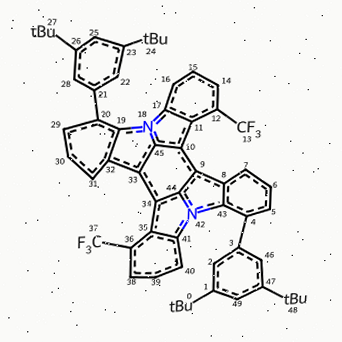 CC(C)(C)c1cc(-c2cccc3c4c5c6c(C(F)(F)F)cccc6n6c7c(-c8cc(C(C)(C)C)cc(C(C)(C)C)c8)cccc7c(c7c8c(C(F)(F)F)cccc8n(c23)c47)c56)cc(C(C)(C)C)c1